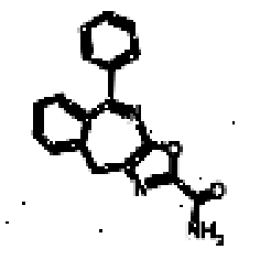 NC(=O)c1nc2c(o1)N=C(c1ccccc1)c1ccccc1C2